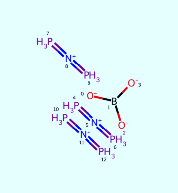 [O-]B([O-])[O-].[PH3]=[N+]=[PH3].[PH3]=[N+]=[PH3].[PH3]=[N+]=[PH3]